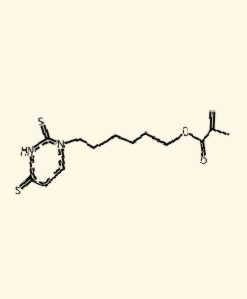 C=C(C)C(=O)OCCCCCCn1ccc(=S)[nH]c1=S